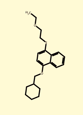 CCOCCSc1ccc(OCC2CCCCC2)c2ccccc12